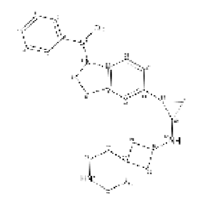 [O-][S+](c1ccccc1)N1CCc2cc(C3CC3NC3CC4(CCNCC4)C3)ccc21